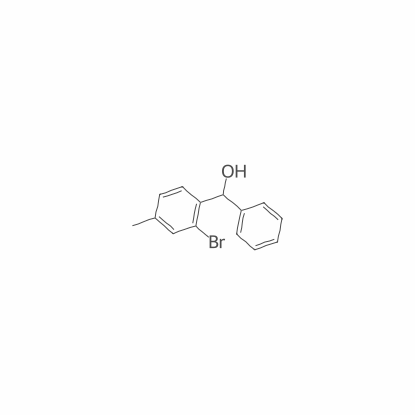 Cc1ccc(C(O)c2ccccc2)c(Br)c1